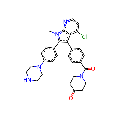 Cn1c(-c2ccc(N3CCNCC3)cc2)c(-c2ccc(C(=O)N3CCC(=O)CC3)cc2)c2c(Cl)ccnc21